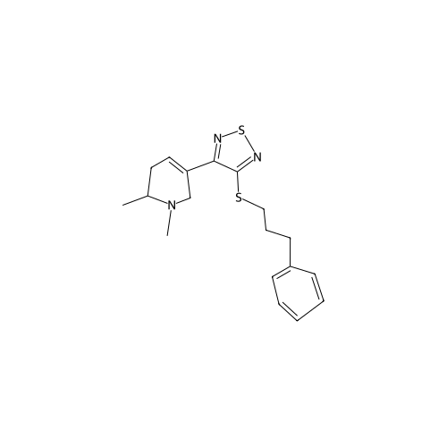 CC1CC=C(c2nsnc2SCCCc2ccccc2)CN1C